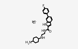 NC1CCC(NCCNC(=O)c2cc3ccc(-c4ccc(F)cc4)cc3[nH]2)CC1.[Cl-].[H+]